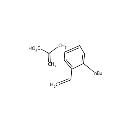 C=C(C)C(=O)O.C=Cc1ccccc1CCCC